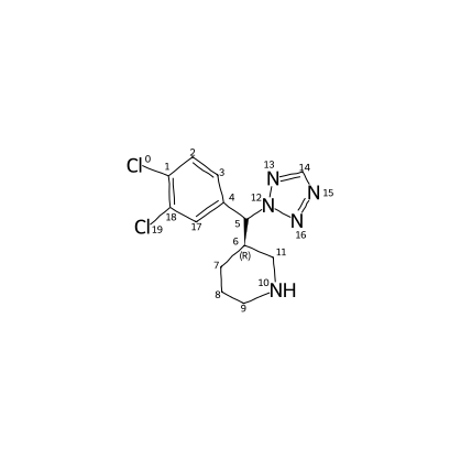 Clc1ccc(C([C@@H]2CCCNC2)n2ncnn2)cc1Cl